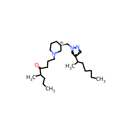 CCCCCC(C)c1cnn(C[C@@H]2CCCN(CCCC(=O)C(C)CCC)C2)c1